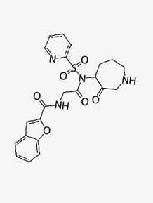 O=C(NCC(=O)N(C1CCCNCC1=O)S(=O)(=O)c1ccccn1)c1cc2ccccc2o1